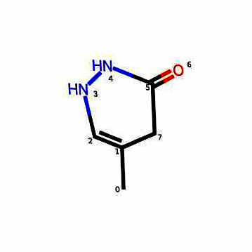 CC1=CNNC(=O)C1